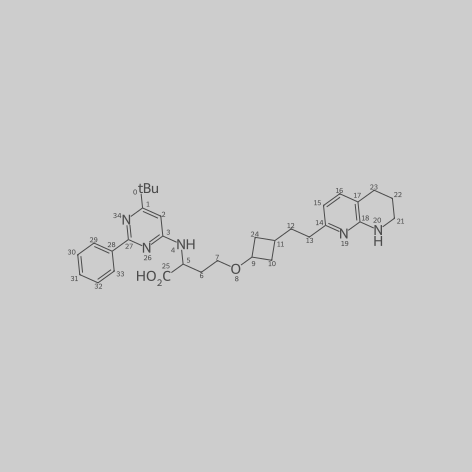 CC(C)(C)c1cc(NC(CCOC2CC(CCc3ccc4c(n3)NCCC4)C2)C(=O)O)nc(-c2ccccc2)n1